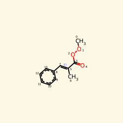 COOC(=O)/C(C)=C/c1ccccc1